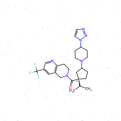 CC(C)[C@]1(C(=O)N2CCc3ncc(C(F)(F)F)cc3C2)CCC(N2CCC(n3ccnn3)CC2)C1